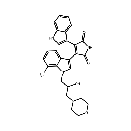 Cc1cccc2c(C3=C(c4c[nH]c5ccccc45)C(=O)NC3=O)cn(CC(O)CN3CCOCC3)c12